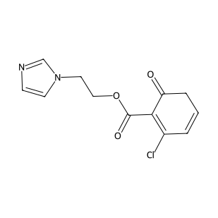 O=C1CC=CC(Cl)=C1C(=O)OCCn1ccnc1